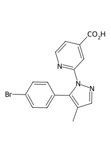 Cc1cnn(-c2cc(C(=O)O)ccn2)c1-c1ccc(Br)cc1